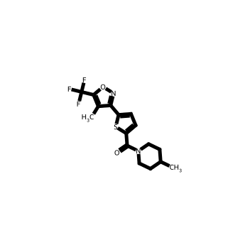 Cc1c(-c2ccc(C(=O)N3CCC(C)CC3)s2)noc1C(F)(F)F